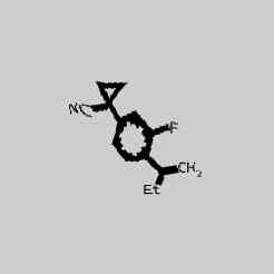 C=C(CC)c1ccc(C2(C#N)CC2)cc1F